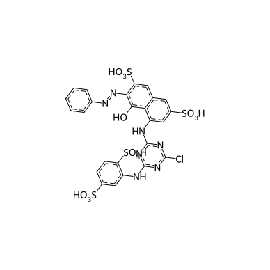 O=S(=O)(O)c1ccc(S(=O)(=O)O)c(Nc2nc(Cl)nc(Nc3cc(S(=O)(=O)O)cc4cc(S(=O)(=O)O)c(N=Nc5ccccc5)c(O)c34)n2)c1